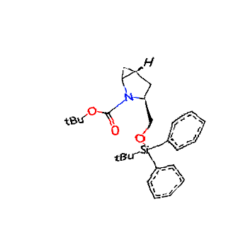 CC(C)(C)OC(=O)N1C2C[C@@H]2C[C@H]1CO[Si](c1ccccc1)(c1ccccc1)C(C)(C)C